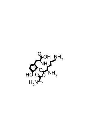 C[C@H](N)C(=O)OC(=O)[C@@H](N)CCCCN.N[C@@H](Cc1ccc(O)cc1)C(=O)O